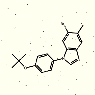 Cc1cc2ncn(-c3ccc(OC(C)(C)C)cc3)c2cc1Br